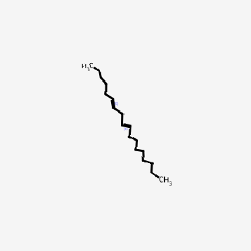 CCCCC/C=C/C/C=C/CCCCCCCC